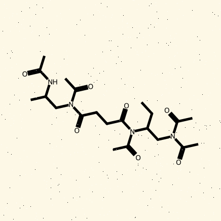 CCC(CN(C(C)=O)C(C)=O)N(C(C)=O)C(=O)CCC(=O)N(CC(C)NC(C)=O)C(C)=O